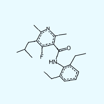 CCc1cccc(CC)c1NC(=O)c1c(C)nc(C)c(CC(C)C)c1F